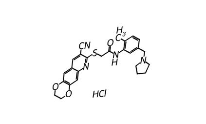 Cc1ccc(CN2CCCC2)cc1NC(=O)CSc1nc2cc3c(cc2cc1C#N)OCCO3.Cl